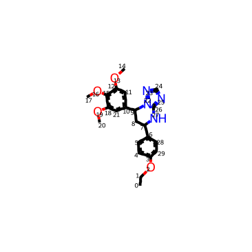 CCOc1ccc(C2CC(c3cc(OC)c(OC)c(OC)c3)n3ncnc3N2)cc1